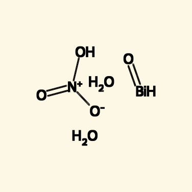 O.O.O=[N+]([O-])O.[O]=[BiH]